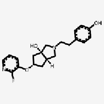 Oc1ccc(CCN2C[C@@H]3C[C@@H](Oc4cccnc4F)C[C@]3(O)C2)cc1